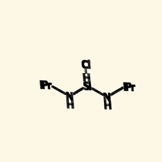 CC(C)N[SiH](Cl)NC(C)C